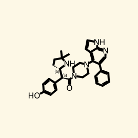 CC1(C)CC[C@@H]([C@@H](C(=O)N2CCN(c3c(-c4ccccc4)cnc4[nH]ccc34)CC2)c2ccc(O)cc2)N1